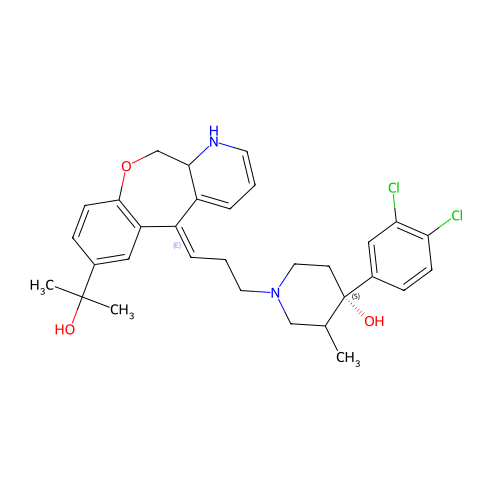 CC1CN(CC/C=C2\C3=CC=CNC3COc3ccc(C(C)(C)O)cc32)CC[C@@]1(O)c1ccc(Cl)c(Cl)c1